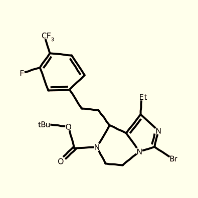 CCc1nc(Br)n2c1C(CCc1ccc(C(F)(F)F)c(F)c1)N(C(=O)OC(C)(C)C)CC2